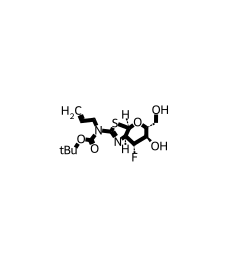 C=CCN(C(=O)OC(C)(C)C)C1=N[C@@H]2[C@@H](F)[C@H](O)[C@@H](CO)O[C@@H]2S1